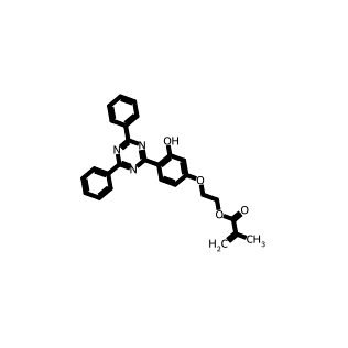 C=C(C)C(=O)OCCOc1ccc(-c2nc(-c3ccccc3)nc(-c3ccccc3)n2)c(O)c1